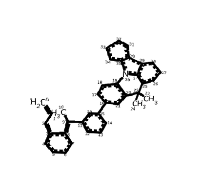 C=C/C=c1/cccc/c1=C(/C)c1cccc(-c2ccc3c(c2)C(C)(C)c2cccc4c5ccccc5n-3c24)c1